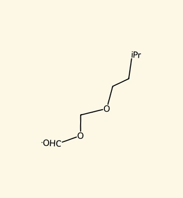 CC(C)CCOCO[C]=O